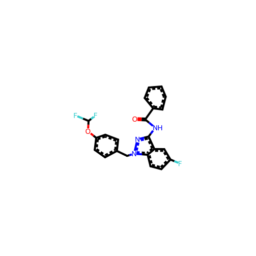 O=C(Nc1nn(Cc2ccc(OC(F)F)cc2)c2ccc(F)cc12)c1ccccc1